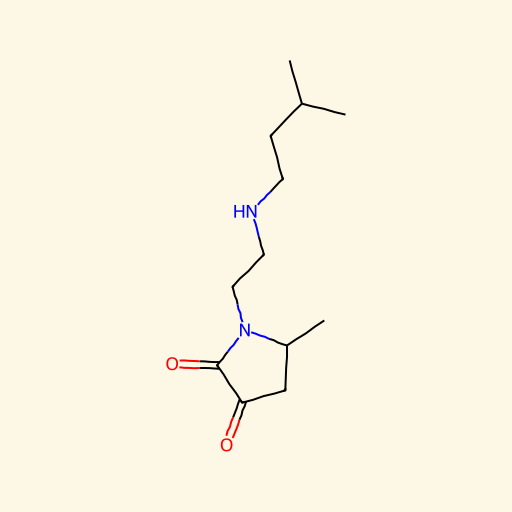 CC(C)CCNCCN1C(=O)C(=O)CC1C